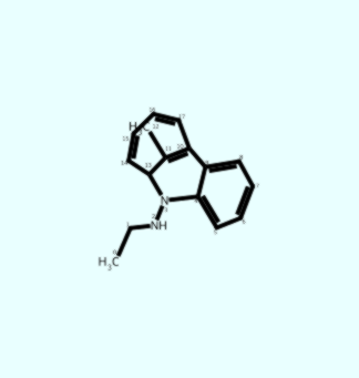 CCNN1c2ccccc2C2=C(C)C1C=CC=C2